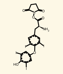 N[C@@H](Cc1cc(I)c(Oc2cc(I)c(O)c(I)c2)c(I)c1)C(=O)ON1C(=O)CCC1=O